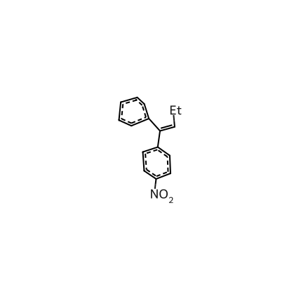 CC/C=C(\c1ccccc1)c1ccc([N+](=O)[O-])cc1